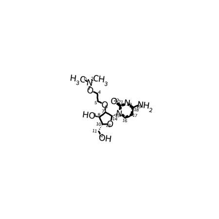 CN(C)OCCO[C@@H]1[C@H](O)[C@@H](CO)O[C@H]1n1ccc(N)nc1=O